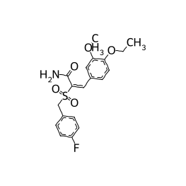 CCOc1ccc(/C=C(\C(N)=O)S(=O)(=O)Cc2ccc(F)cc2)cc1OC